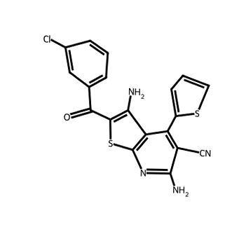 N#Cc1c(N)nc2sc(C(=O)c3cccc(Cl)c3)c(N)c2c1-c1cccs1